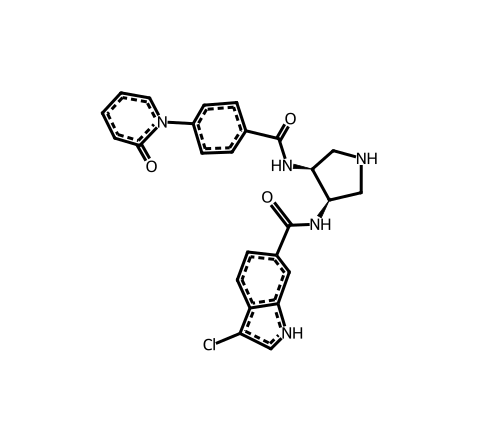 O=C(N[C@H]1CNC[C@H]1NC(=O)c1ccc2c(Cl)c[nH]c2c1)c1ccc(-n2ccccc2=O)cc1